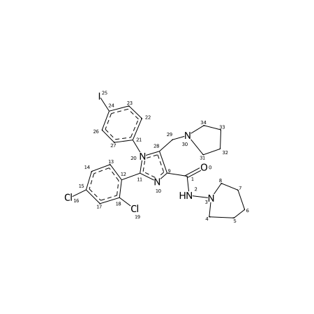 O=C(NN1CCCCC1)c1nc(-c2ccc(Cl)cc2Cl)n(-c2ccc(I)cc2)c1CN1CCCC1